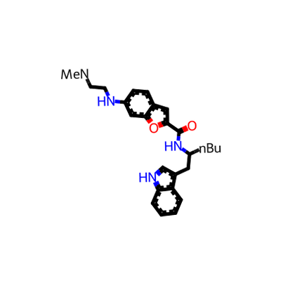 CCCCC(Cc1c[nH]c2ccccc12)NC(=O)c1cc2ccc(NCCNC)cc2o1